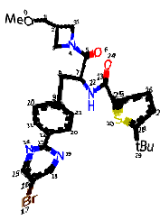 COCC1CN(C(=O)C(Cc2ccc(-c3ncc(Br)cn3)cc2)NC(=O)c2ccc(C(C)(C)C)s2)C1